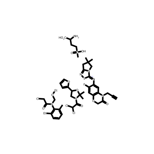 C#CCN1C(=O)COc2cc(F)c(/N=c3\snc4n3CC(C)(C)C4)cc21.CC1(C)OC(c2ccco2)CN1C(=O)C(Cl)Cl.CCOCN(C(=O)CCl)c1c(C)cccc1CC.CP(=O)(O)CCC(N)C(=O)O